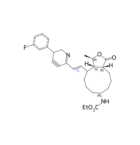 CCOC(=O)N[C@@H]1CCCC(/C=C/C2=NCC(c3cccc(F)c3)C#C2)[C@@H]2[C@@H](C)OC(=O)[C@@H]2CCC1